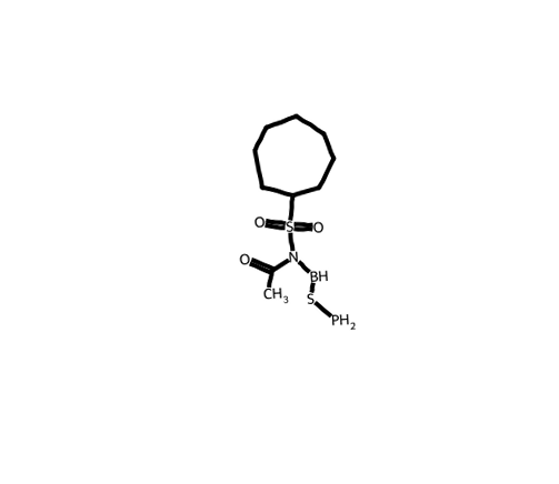 CC(=O)N(BSP)S(=O)(=O)C1CCCCCCC1